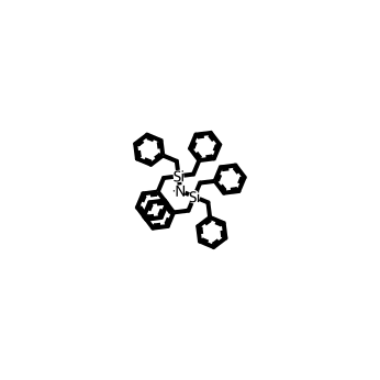 c1ccc(C[Si](Cc2ccccc2)(Cc2ccccc2)[N][Si](Cc2ccccc2)(Cc2ccccc2)Cc2ccccc2)cc1